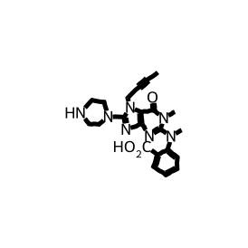 CC#CCn1c(N2CCNCC2)nc2nc(N(C)c3ccccc3C(=O)O)n(C)c(=O)c21